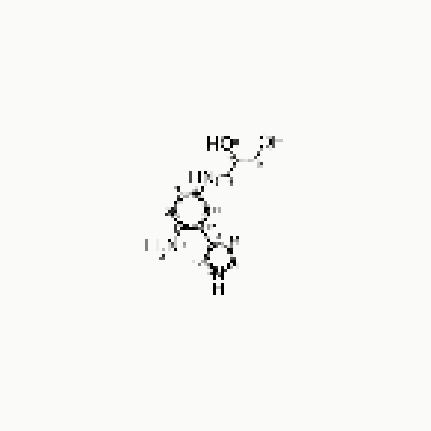 Nc1ccc(NCC(O)CO)cc1-c1cc[nH]c1